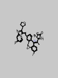 C/C(=C1/c2ccc(Cc3c(C4CCOC4)nc4cc(F)ccn34)cc2COc2cc(F)ccc21)c1noc(=O)[nH]1